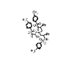 Cc1ccc(S(=O)(=O)NC(CN(CC(NS(=O)(=O)c2ccc(C)cc2)C(C)C)CC(NS(=O)(=O)c2ccc(C)cc2)C(C)C)C(C)C)cc1